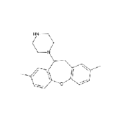 Cc1ccc2c(c1)CC(N1CCNCC1)c1cc(C)ccc1O2